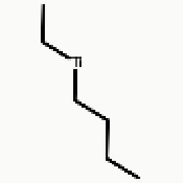 CCC[CH2][Ti][CH2]C